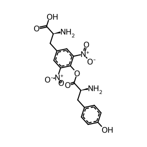 N[C@@H](Cc1cc([N+](=O)[O-])c(OC(=O)[C@@H](N)Cc2ccc(O)cc2)c([N+](=O)[O-])c1)C(=O)O